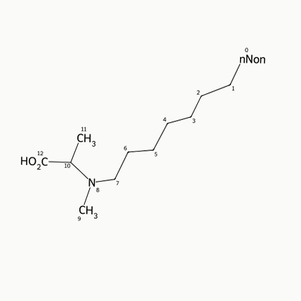 CCCCCCCCCCCCCCCCN(C)C(C)C(=O)O